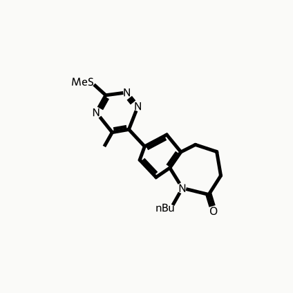 CCCCN1C(=O)CCCc2cc(-c3nnc(SC)nc3C)ccc21